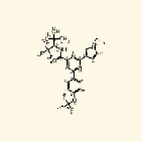 Cn1cc(-c2nc(C(=O)N[C@H](C(C)(C)O)C(F)(F)F)cc(-c3ccc(OC(F)(F)F)cc3)n2)cn1